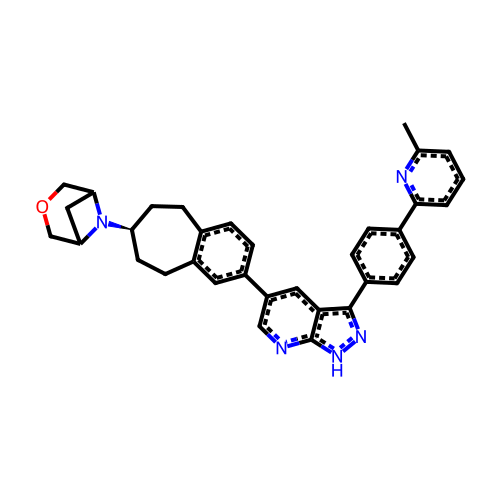 Cc1cccc(-c2ccc(-c3n[nH]c4ncc(-c5ccc6c(c5)CC[C@@H](N5C7COCC5C7)CC6)cc34)cc2)n1